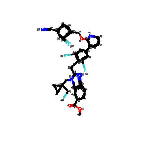 COC(=O)c1ccc2nc(Cc3c(F)cc(-c4cccnc4OCc4ccc(C#N)cc4F)cc3F)n(CC3(CF)CC3)c2c1